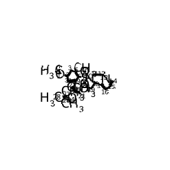 COc1cc(C)c(S(=O)(=O)N2CCn3cccc3C2COCC(=O)OC(C)(C)C)c(C)c1